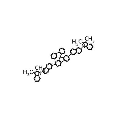 Cc1c(C)n(-c2ccc3cc(-c4ccc5c(c4)C4(c6ccccc6-c6ccccc64)c4cc(-c6ccc7cc(-n8c(C)c(C)c9ccccc98)ccc7c6)ccc4-5)ccc3c2)c2ccccc12